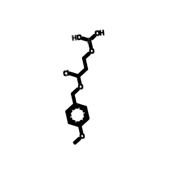 COc1ccc(COC(Cl)CCOB(O)O)cc1